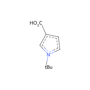 CC(C)(C)n1ccc(C(=O)O)c1